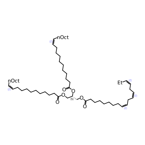 CC/C=C\C/C=C\C/C=C\CCCCCCCC(=O)OC[C@H](COC(=O)CCCCCCCCC/C=C\CCCCCCCC)OC(=O)CCCCCCCCC/C=C\CCCCCCCC